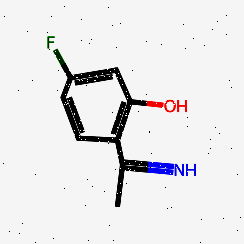 CC(=N)c1ccc(F)cc1O